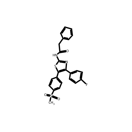 CS(=O)(=O)c1ccc(-c2sc(NC(=O)Cc3ccccc3)nc2-c2ccc(F)cc2)cc1